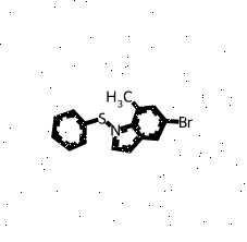 Cc1cc(Br)cc2ccn(Sc3ccccc3)c12